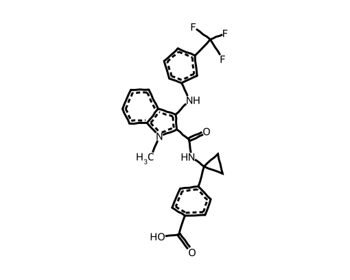 Cn1c(C(=O)NC2(c3ccc(C(=O)O)cc3)CC2)c(Nc2cccc(C(F)(F)F)c2)c2ccccc21